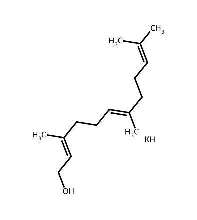 CC(C)=CCCC(C)=CCCC(C)=CCO.[KH]